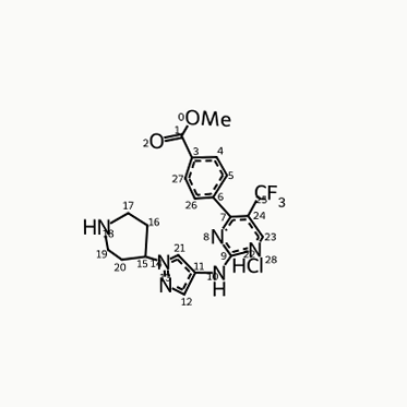 COC(=O)c1ccc(-c2nc(Nc3cnn(C4CCNCC4)c3)ncc2C(F)(F)F)cc1.Cl